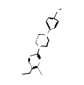 OCc1cnc(N2CCN(c3ccc(OC(F)(F)F)cc3)CC2)nc1C(F)(F)F